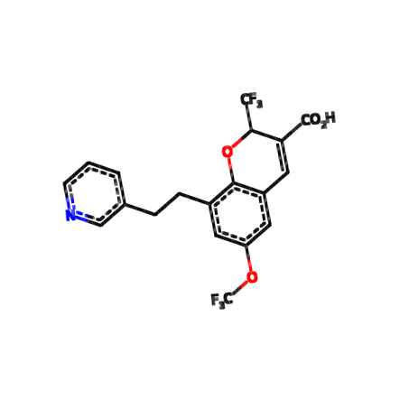 O=C(O)C1=Cc2cc(OC(F)(F)F)cc(CCc3cccnc3)c2OC1C(F)(F)F